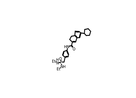 CCNP(=O)(Cc1ccc(NC(=O)C2=Cc3cc(C4CCCCC4)ccc3CC2)cc1)NCC